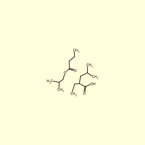 CCC(CC(C)C)C(=O)O.CCCC(=O)OCC(C)C